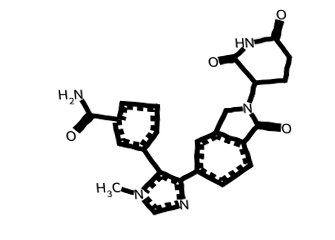 Cn1cnc(-c2ccc3c(c2)CN(C2CCC(=O)NC2=O)C3=O)c1-c1cccc(C(N)=O)c1